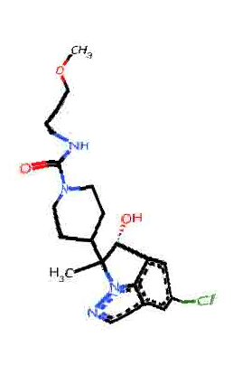 COCCNC(=O)N1CCC(C2(C)[C@H](O)c3cc(Cl)cc4cnn2c34)CC1